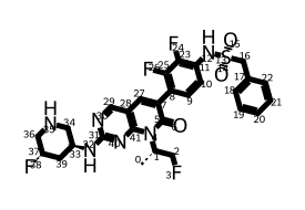 C[C@@H](CF)n1c(=O)c(-c2ccc(NS(=O)(=O)Cc3ccccc3)c(F)c2F)cc2cnc(N[C@@H]3CNC[C@@H](F)C3)nc21